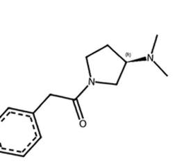 CN(C)[C@@H]1CCN(C(=O)Cc2c[c]ccc2)C1